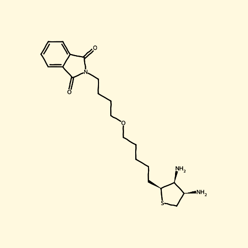 N[C@@H]1[C@H](CCCCCOCCCCN2C(=O)c3ccccc3C2=O)SC[C@@H]1N